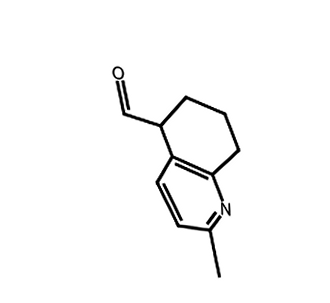 Cc1ccc2c(n1)CCCC2C=O